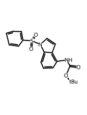 CC(C)(C)OC(=O)Nc1cccc2c1ccn2S(=O)(=O)c1ccccc1